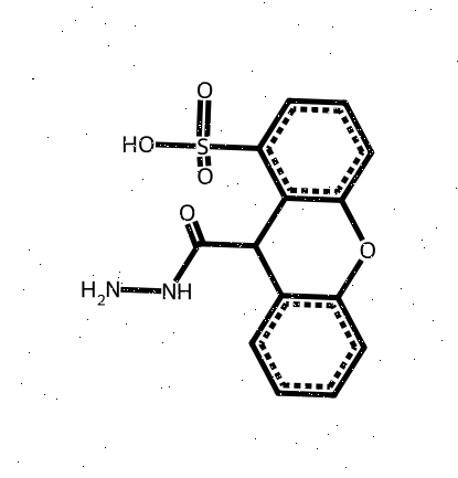 NNC(=O)C1c2ccccc2Oc2cccc(S(=O)(=O)O)c21